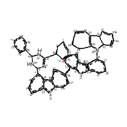 C1=CCC(C2=NC(c3cccc4sc5ccc(-c6cccc7c6sc6cccc(N8C9=C(C=CCC9)C9C=CC=CC98)c67)cc5c34)NC(c3ccccc3)N2)C=C1